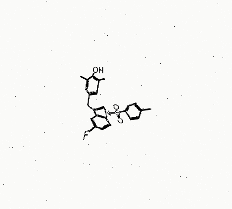 Cc1ccc(S(=O)(=O)n2cc(Cc3cc(C)c(O)c(C)c3)c3cc(F)ccc32)cc1